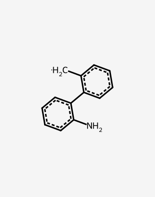 [CH2]c1ccccc1-c1ccccc1N